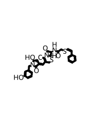 O=C(CS/C=C\c1ccccc1)N[C@@H]1C(=O)N2C(C(=O)O)=C(C=C3CCN(Cc4cccc(O)c4)C3=O)CS[C@H]12